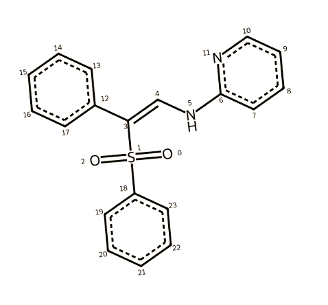 O=S(=O)(C(=CNc1ccccn1)c1ccccc1)c1ccccc1